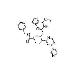 CC(NC(=O)CC1CN(C(=O)OCc2ccccc2)CCN1c1cc(-n2ccnc2)ncn1)c1cccs1